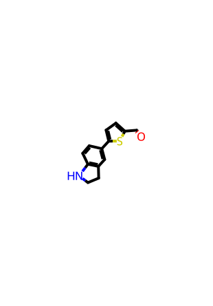 O=Cc1ccc(-c2ccc3c(c2)CCN3)s1